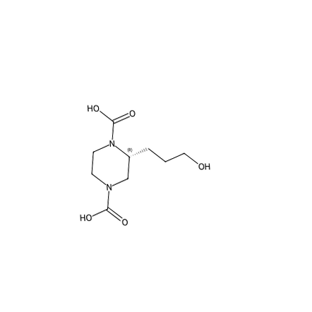 O=C(O)N1CCN(C(=O)O)[C@H](CCCO)C1